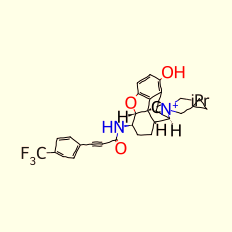 CC(C)C[N+]1(CC2CC2)CC[C@@]23c4c5ccc(O)c4C[C@@H]1[C@@H]2CC[C@@H](NC(=O)C#Cc1ccc(C(F)(F)F)cc1)[C@@H]3O5